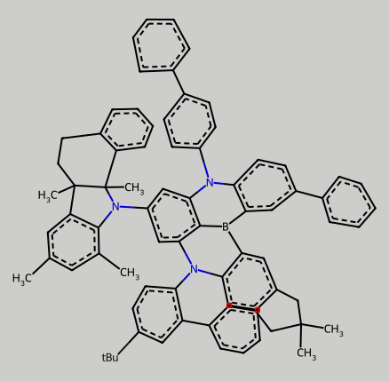 Cc1cc(C)c2c(c1)C1(C)CCc3ccccc3C1(C)N2c1cc2c3c(c1)N(c1ccc(C(C)(C)C)cc1-c1ccccc1)c1cc4c(cc1B3c1cc(-c3ccccc3)ccc1N2c1ccc(-c2ccccc2)cc1)CC(C)(C)C4